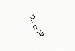 COc1ccc(C(=O)COc2ccc(N3C(=O)C4C(C3=O)C3C=CC4[C@H]4C[C@@H]34)cc2)cn1